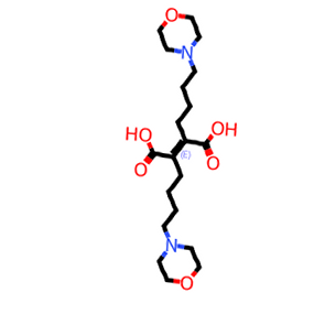 O=C(O)/C(CCCCN1CCOCC1)=C(\CCCCN1CCOCC1)C(=O)O